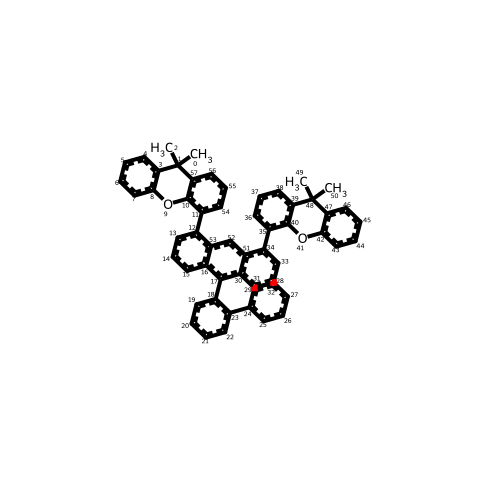 CC1(C)c2ccccc2Oc2c(-c3cccc4c(-c5ccccc5-c5ccccc5)c5cccc(-c6cccc7c6Oc6ccccc6C7(C)C)c5cc34)cccc21